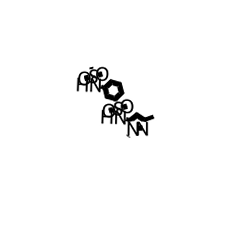 Cc1cc(NS(=O)(=O)c2cccc(NS(C)(=O)=O)c2)n(C)n1